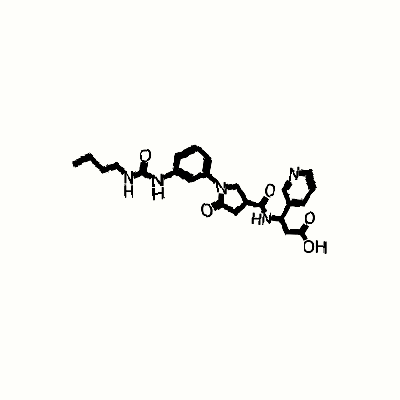 CCCCNC(=O)Nc1cccc(N2CC(C(=O)NC(CC(=O)O)c3cccnc3)CC2=O)c1